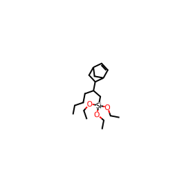 CCCCC(C[Si](OCC)(OCC)OCC)C1CC2C=CC1C2